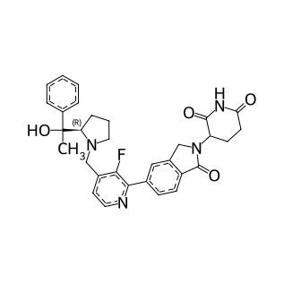 CC(O)(c1ccccc1)[C@H]1CCCN1Cc1ccnc(-c2ccc3c(c2)CN(C2CCC(=O)NC2=O)C3=O)c1F